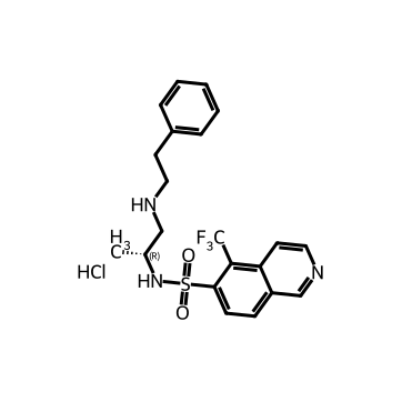 C[C@H](CNCCc1ccccc1)NS(=O)(=O)c1ccc2cnccc2c1C(F)(F)F.Cl